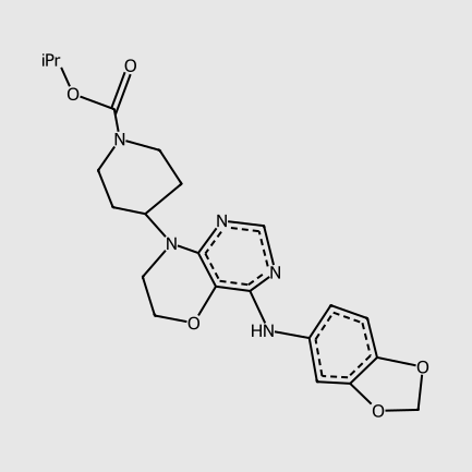 CC(C)OC(=O)N1CCC(N2CCOc3c(Nc4ccc5c(c4)OCO5)ncnc32)CC1